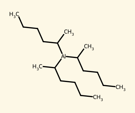 CCCC[CH](C)[Al]([CH](C)CCCC)[CH](C)CCCC